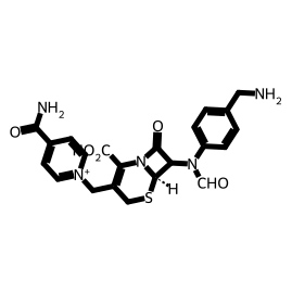 NCc1ccc(N(C=O)C2C(=O)N3C(C(=O)O)=C(C[n+]4ccc(C(N)=O)cc4)CS[C@H]23)cc1